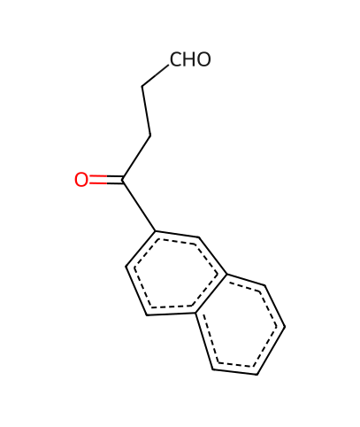 O=CCCC(=O)c1ccc2ccccc2c1